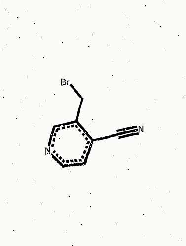 N#Cc1ccncc1CBr